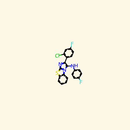 Fc1ccc(Nc2c(-c3ccc(F)cc3Cl)nc3sc4ccccc4n23)cc1